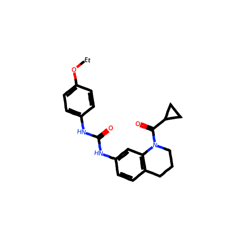 CCOc1ccc(NC(=O)Nc2ccc3c(c2)N(C(=O)C2CC2)CCC3)cc1